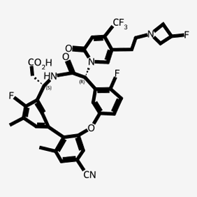 Cc1cc2cc(c1F)[C@H](CC(=O)O)NC(=O)[C@H](n1cc(CCN3CC(F)C3)c(C(F)(F)F)cc1=O)c1cc(ccc1F)Oc1cc(C#N)cc(C)c1-2